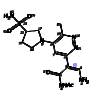 CC(=O)NC(=O)/C(=C\N)c1cc(N2CCC(S(N)(=O)=O)C2)c(C)nn1